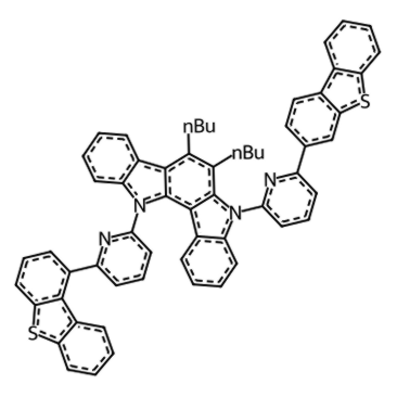 CCCCc1c(CCCC)c2c(c3ccccc3n2-c2cccc(-c3ccc4c(c3)sc3ccccc34)n2)c2c1c1ccccc1n2-c1cccc(-c2cccc3sc4ccccc4c23)n1